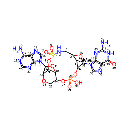 COC1C2CNS(=O)(=O)OC3C4OC(n5cnc6c(N)ncnc65)C3OCC4OP(=O)(O)OC1C(n1cnc3c(=O)[nH]c(N)nc31)O2